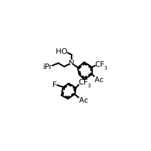 CC(=O)c1ccc(F)cc1C(F)(F)F.CC(=O)c1ccc(N(CO)CCC(C)C)cc1C(F)(F)F